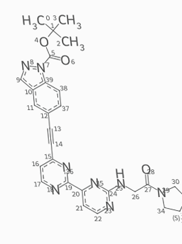 CC(C)(C)OC(=O)n1ncc2cc(C#Cc3ccnc(-c4ccnc(NCC(=O)N5CC[C@H](O)C5)n4)n3)ccc21